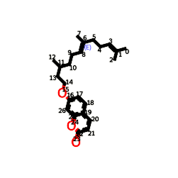 CC(C)=CCC/C(C)=C/CCC(C)CCOc1ccc2ccc(=O)oc2c1